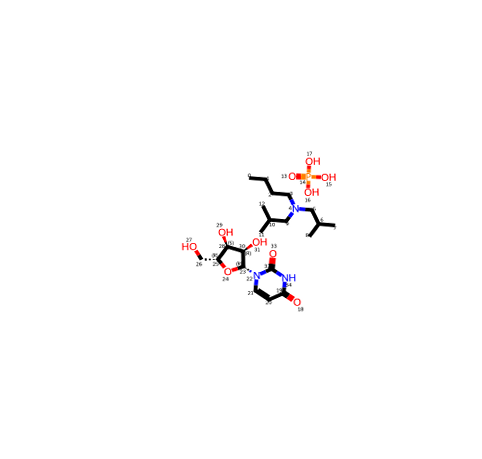 CCCCN(CC(C)C)CC(C)C.O=P(O)(O)O.O=c1ccn([C@@H]2O[C@H](CO)[C@@H](O)[C@H]2O)c(=O)[nH]1